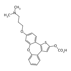 CN(C)CCCOc1ccc2c(c1)Oc1ccccc1-c1cc(OC(=O)O)sc1-2